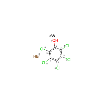 Br.Oc1c(Cl)c(Cl)c(Cl)c(Cl)c1Cl.[W]